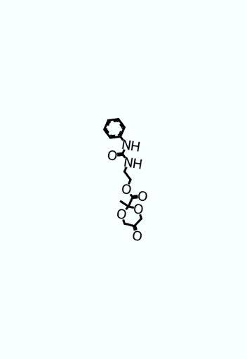 CC1(C(=O)OCCNC(=O)Nc2ccccc2)OCC(=O)CO1